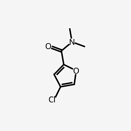 CN(C)C(=O)c1cc(Cl)co1